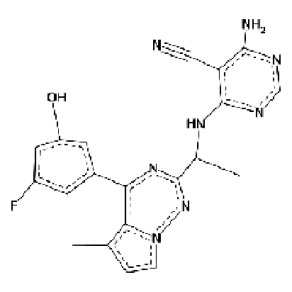 Cc1ccn2nc(C(C)Nc3ncnc(N)c3C#N)nc(-c3cc(O)cc(F)c3)c12